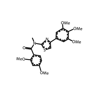 COc1ccc(C(=O)N(C)c2nc(-c3cc(OC)c(OC)c(OC)c3)cs2)c(OC)c1